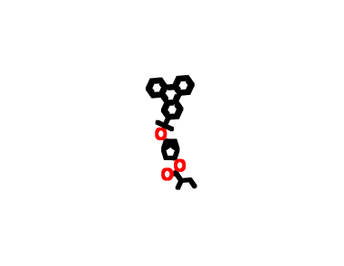 CCC(C)C(=O)OC1CC2CC1CC2OC(C)(C)c1ccc2c3ccccc3c3ccccc3c2c1